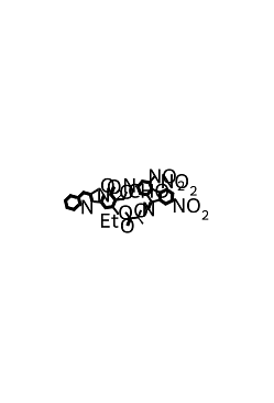 CC[C@H](OC(=O)[C@H](C)ON=C1c2cc([N+](=O)[O-])cc([N+](=O)[O-])c2-c2c1cc([N+](=O)[O-])cc2[N+](=O)[O-])c1cc2n(c(=O)c1COC=O)Cc1cc3ccccc3nc1-2